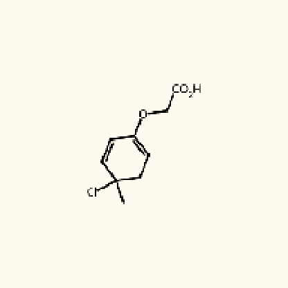 CC1(Cl)C=CC(OCC(=O)O)=CC1